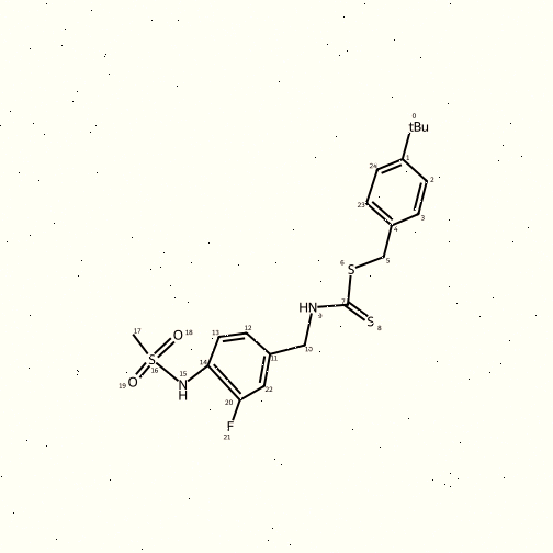 CC(C)(C)c1ccc(CSC(=S)NCc2ccc(NS(C)(=O)=O)c(F)c2)cc1